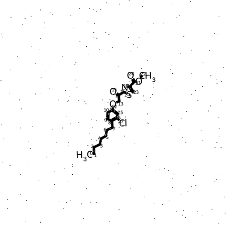 CCCCCCCCc1ccc(OCC(=O)c2nc(C(=O)OC)cs2)cc1Cl